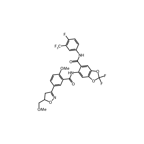 COCC1CC(c2ccc(OC)c(C(=O)Nc3cc4c(cc3C(=O)Nc3ccc(F)c(C(F)(F)F)c3)OC(F)(F)O4)c2)=NO1